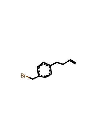 C=CCCc1ccc(CBr)cc1